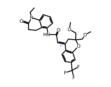 CCN1C(=O)CCc2c(NC(=O)/C=C3\CC(COC)(COC)Oc4cc(C(F)(F)F)ccc43)cccc21